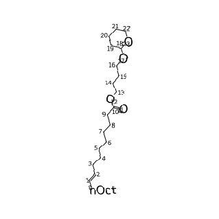 CCCCCCCCC=CCCCCCCCC(=O)OCCCCOC1CCCCO1